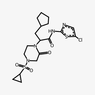 O=C(Nc1ncc(Cl)s1)C(CC1CCCC1)N1CCN(S(=O)(=O)C2CC2)CC1=O